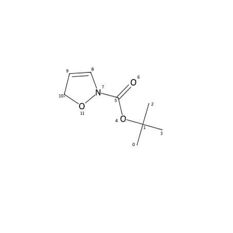 CC(C)(C)OC(=O)N1C=C[CH]O1